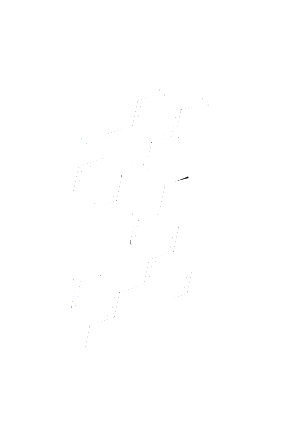 Cc1cncc(-c2cccc3cc([C@H](C)Nc4nc(N)ncc4C#N)n(-c4ccccc4)c(=O)c23)c1